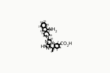 C=C(c1ccc(C(=O)O)cc1)c1n[nH]c2nc(N3CCC4(CC3)Cc3ccccc3C4N)cnc12